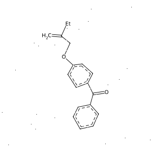 C=C(CC)COc1ccc(C(=O)c2ccccc2)cc1